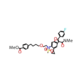 CNC(=O)c1c(-c2ccc(F)cc2)oc2cc(N(CCOCCCCc3ccc(C(=O)OC)cc3)S(C)(=O)=O)c(C3CC3)cc12